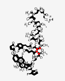 C[C@H](NC(=O)CCc1ccc(N2C(=O)C=CC2=O)c(F)c1OCCCC(=O)N(C)CC(=O)N(C)CC(=O)N(C)CC(=O)N(C)CC(=O)N(C)CC(=O)N(C)CC(=O)N(C)CC(=O)N(C)CC(=O)N(C)CC(=O)N(C)CC(=O)O)C(=O)N[C@@H](C)C(=O)NCOCC(=O)[C@@]12O[C@H](c3sccc3F)O[C@@H]1C[C@H]1[C@@H]3C[C@H](F)C4=CC(=O)C=C[C@]4(C)[C@@]3(F)[C@@H](O)C[C@@]12C